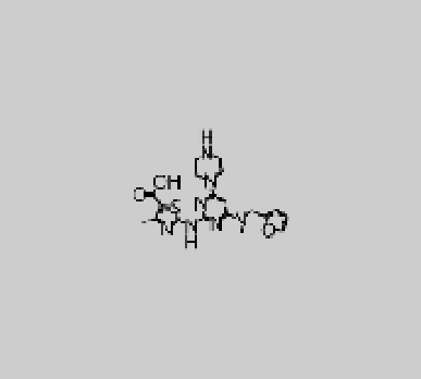 Cc1nc(Nc2nc(N(C)Cc3ccco3)cc(N3CCNCC3)n2)sc1C(=O)O